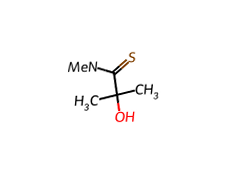 CNC(=S)C(C)(C)O